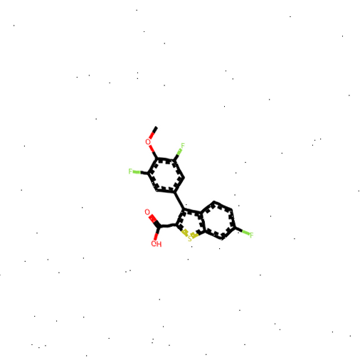 COc1c(F)cc(-c2c(C(=O)O)sc3cc(F)ccc23)cc1F